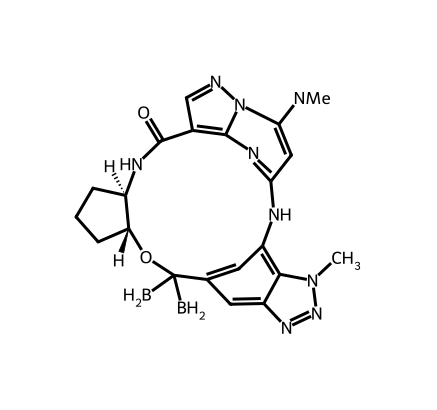 BC1(B)O[C@@H]2CCC[C@H]2NC(=O)c2cnn3c(NC)cc(nc23)Nc2cc1cc1nnn(C)c21